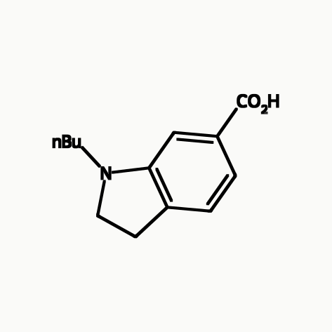 CCCCN1CCc2ccc(C(=O)O)cc21